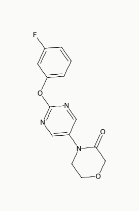 O=C1COCCN1c1cnc(Oc2cccc(F)c2)nc1